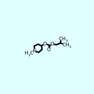 CC(C)COC(=O)OC1CCN(C)CC1